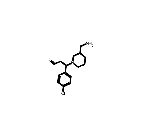 NCC1CCCN(C(CC=O)c2ccc(Cl)cc2)C1